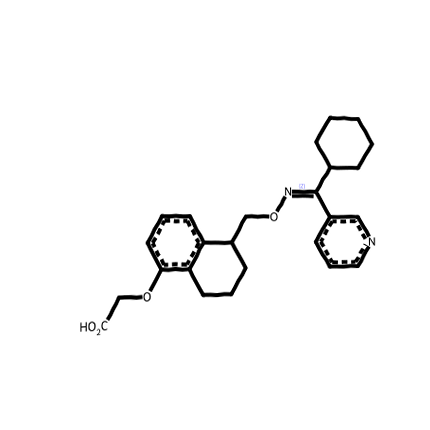 O=C(O)COc1cccc2c1CCCC2CO/N=C(\c1cccnc1)C1CCCCC1